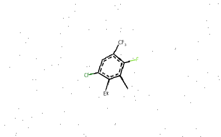 CCc1c(Cl)cc(C(F)(F)F)c(F)c1C